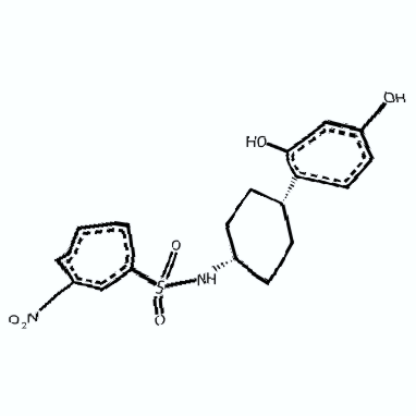 O=[N+]([O-])c1cccc(S(=O)(=O)N[C@H]2CC[C@@H](c3ccc(O)cc3O)CC2)c1